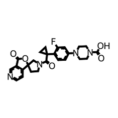 O=C1OC2(CCN(C(=O)C3(c4ccc(N5CCN(C(=O)O)CC5)cc4F)CC3)C2)c2ccncc21